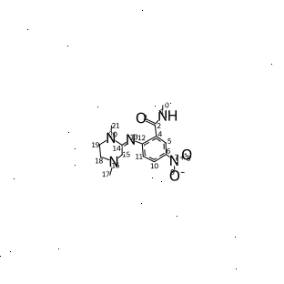 CNC(=O)c1cc([N+](=O)[O-])ccc1/N=C1\CN(C)CCN1C